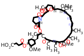 CO[C@H]1C[C@@H]2CC[C@@H](C)[C@@](O)(O2)C(=O)C(=O)N2CCCC[C@H]2C(=O)O[C@H]([C@H](C)C[C@@H]2CC[C@@H](OC(=O)CCC(=O)O)[C@H](OC)C2)CC(=O)[C@H](C)/C=C(\C)[C@@H](O)[C@@H](OC)C(=O)[C@H](C)C[C@H](C)/C=C/C=C/C=C/1C